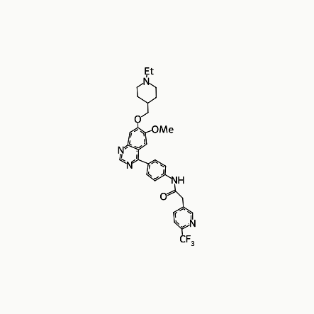 CCN1CCC(COc2cc3ncnc(-c4ccc(NC(=O)Cc5ccc(C(F)(F)F)nc5)cc4)c3cc2OC)CC1